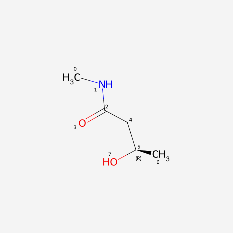 CNC(=O)C[C@@H](C)O